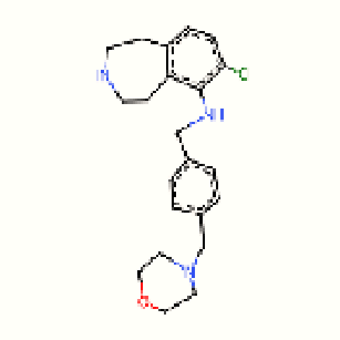 Clc1ccc2c(c1NCc1ccc(CN3CCOCC3)cc1)CCNCC2